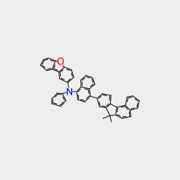 CC1(C)c2cc(-c3ccc(N(c4ccccc4)c4ccc5oc6ccccc6c5c4)c4ccccc34)ccc2-c2c1ccc1ccccc21